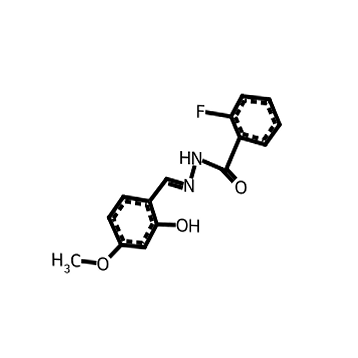 COc1ccc(/C=N/NC(=O)c2ccccc2F)c(O)c1